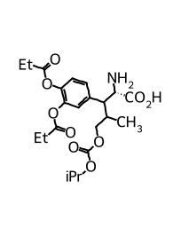 CCC(=O)Oc1ccc(C(C(C)COC(=O)OC(C)C)[C@H](N)C(=O)O)cc1OC(=O)CC